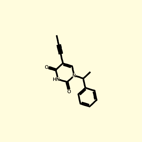 CC#Cc1cn(C(C)c2ccccc2)c(=O)[nH]c1=O